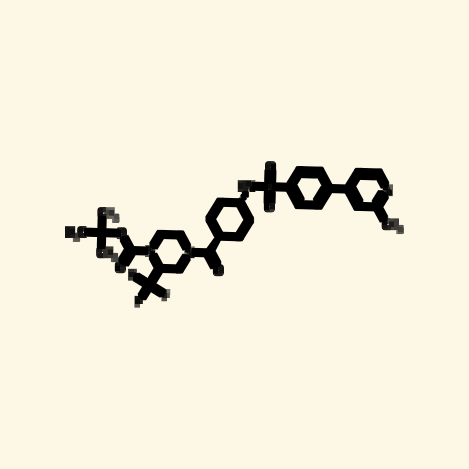 Cc1cc(-c2ccc(S(=O)(=O)N[C@H]3CC[C@H](C(=O)N4CCN(C(=O)OC(C)(C)C)C(C(F)(F)F)C4)CC3)cc2)ccn1